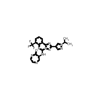 CC(C)n1cc(-c2nc3c4cccc(C(F)(F)F)c4nc(Nc4cnccnc4=O)n3n2)cn1